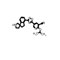 CC(C)Oc1ncc(-c2nc(-c3cccc4c3CCC43CCNC3)no2)cc1C#N